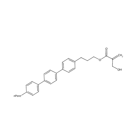 C=C(CO)C(=O)OCCCc1ccc(-c2ccc(-c3ccc(CCCCC)cc3)cc2)cc1